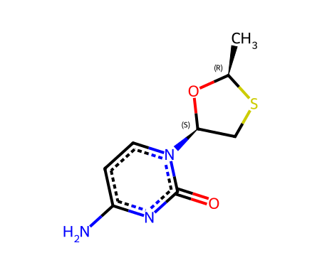 C[C@@H]1O[C@H](n2ccc(N)nc2=O)CS1